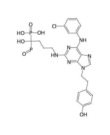 O=PC(O)(CCCNc1nc(Nc2cccc(Cl)c2)c2ncn(CCc3ccc(O)cc3)c2n1)P(=O)(O)O